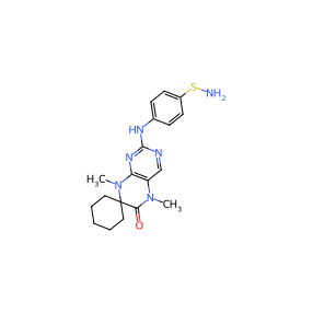 CN1C(=O)C2(CCCCC2)N(C)c2nc(Nc3ccc(SN)cc3)ncc21